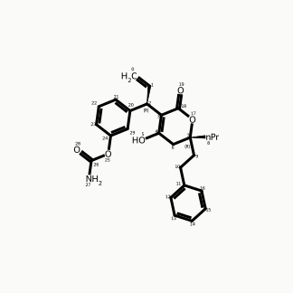 C=C[C@@H](C1=C(O)C[C@@](CCC)(CCc2ccccc2)OC1=O)c1cccc(OC(N)=O)c1